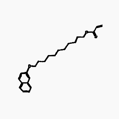 C=CC(=O)OCCCCCCCCCCCOc1ccc2ccccc2c1